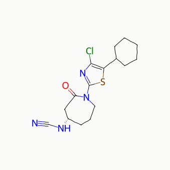 N#CN[C@H]1CCCN(c2nc(Cl)c(C3CCCCC3)s2)C(=O)C1